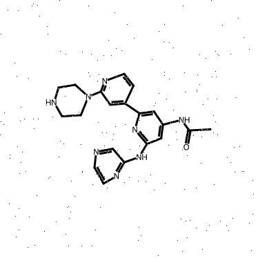 CC(=O)Nc1cc(Nc2cnccn2)nc(-c2ccnc(N3CCNCC3)c2)c1